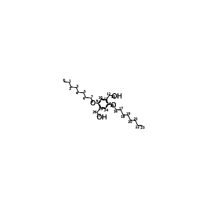 CCCCCCCCOc1cc(CO)c(OCCCCCCCC)cc1CO